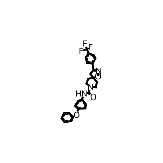 O=C(Nc1ccc(Oc2ccccc2)cc1)N1CCC2(CC1)CC(c1ccc(C(F)(F)F)cc1)=NO2